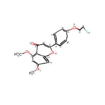 COc1cc(OC)c2c(=O)cc(-c3ccc(OCCF)cc3)oc2c1